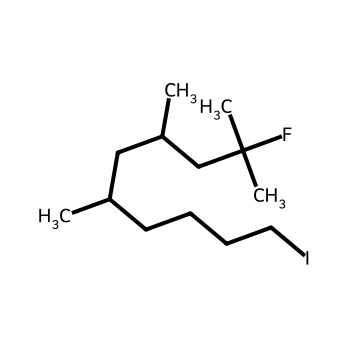 CC(CCCCI)CC(C)CC(C)(C)F